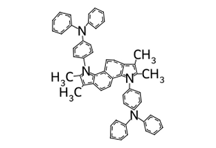 Cc1c(C)n(-c2ccc(N(c3ccccc3)c3ccccc3)cc2)c2c1ccc1c2ccc2c(C)c(C)n(-c3ccc(N(c4ccccc4)c4ccccc4)cc3)c21